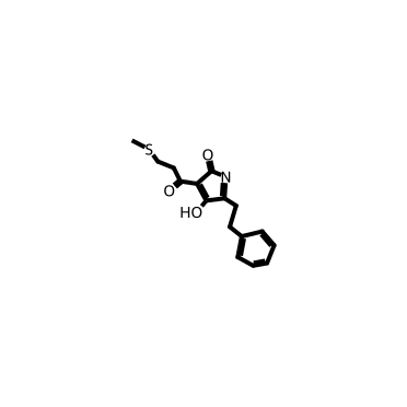 CSCCC(=O)C1=C(O)C(CCc2ccccc2)=NC1=O